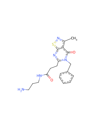 Cc1nsc2nc(CCC(=O)NCCCN)n(Cc3ccccc3)c(=O)c12